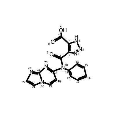 O=C(O)c1[nH]nnc1C(=O)N(c1ccccc1)c1ccn2ccnc2n1